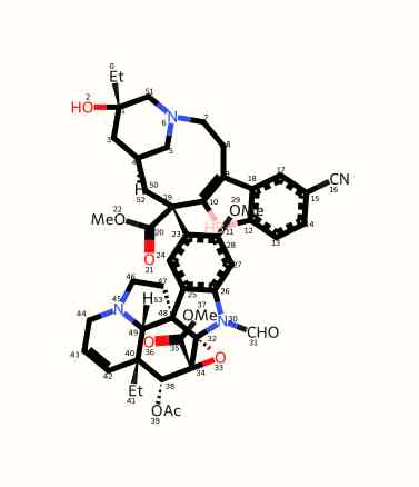 CC[C@]1(O)C[C@H]2CN(CCC3=C(Bc4ccc(C#N)cc43)[C@@](C(=O)OC)(c3cc4c(cc3OC)N(C=O)[C@@]35O[C@]3(C(=O)OC)[C@H](OC(C)=O)[C@]3(CC)C=CCN6CC[C@]45[C@@H]63)C2)C1